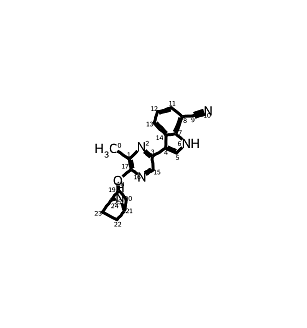 Cc1nc(-c2c[nH]c3c(C#N)cccc23)cnc1OC1CC2CCC1N2